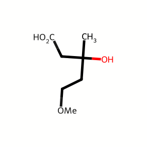 COCCC(C)(O)CC(=O)O